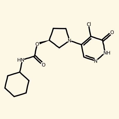 O=C(NC1CCCCC1)O[C@H]1CCN(c2cn[nH]c(=O)c2Cl)C1